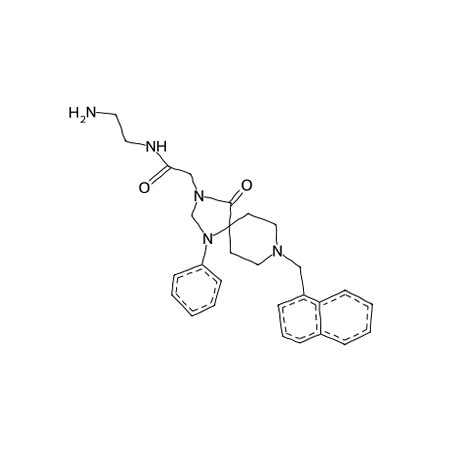 NCCNC(=O)CN1CN(c2ccccc2)C2(CCN(Cc3cccc4ccccc34)CC2)C1=O